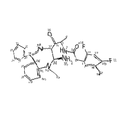 CC(NC(=O)Cc1cc(F)c(F)cc1F)C(=O)C1N=C(c2ccccc2)c2ccccc2N(C)[C@@H]1N